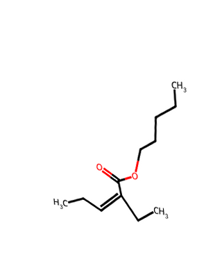 CCC=C(CC)C(=O)OCCCCC